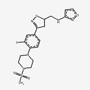 CS(=O)(=O)N1CCN(c2ccc(C3=NOC(CNc4ccon4)C3)cc2F)CC1